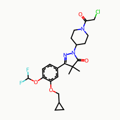 CC1(C)C(=O)N(C2CCN(C(=O)CCl)CC2)N=C1c1ccc(OC(F)F)c(OCC2CC2)c1